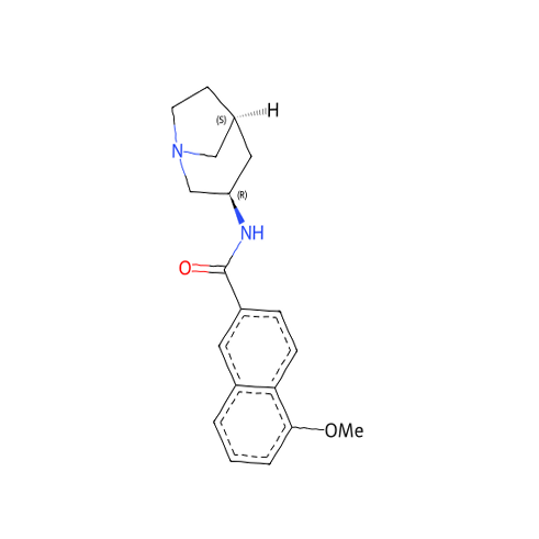 COc1cccc2cc(C(=O)N[C@@H]3C[C@@H]4CCN(C4)C3)ccc12